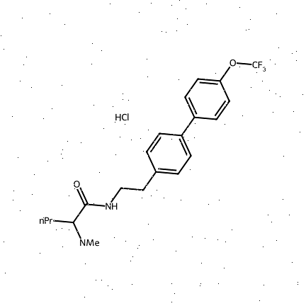 CCCC(NC)C(=O)NCCc1ccc(-c2ccc(OC(F)(F)F)cc2)cc1.Cl